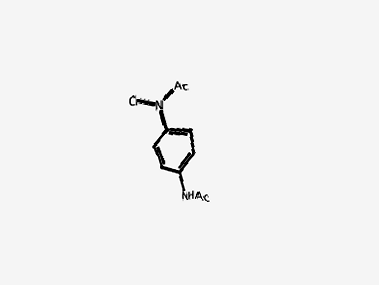 CC(=O)Nc1ccc(N(Cl)C(C)=O)cc1